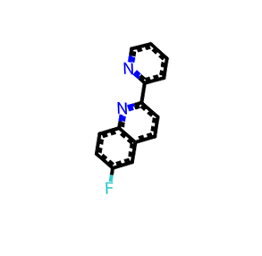 Fc1ccc2nc(-c3ccccn3)ccc2c1